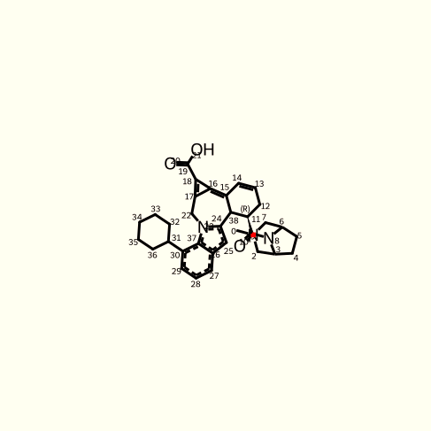 CN1CC2CCC(C1)N2C(=O)[C@@H]1CC=CC2=C3C(=C3C(=O)O)Cn3c(cc4cccc(C5CCCCC5)c43)C21